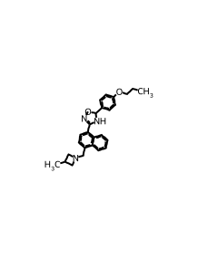 CCCOc1ccc(C2NC(c3ccc(CN4CC(C)C4)c4ccccc34)=NO2)cc1